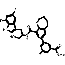 CNC(=O)c1cc(F)cc(-c2cc3c(c(C(=O)NC(CO)Cc4c[nH]c5c(F)cc(F)cc45)c2)OCCCC3)c1